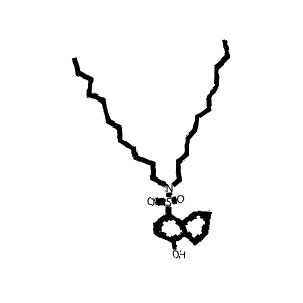 CCCCCCCCCCCCN(CCCCCCCCCCCC)S(=O)(=O)c1ccc(O)c2ccccc12